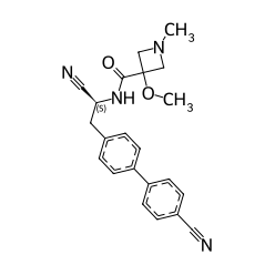 COC1(C(=O)N[C@H](C#N)Cc2ccc(-c3ccc(C#N)cc3)cc2)CN(C)C1